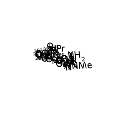 CNc1nc(N)nc2c1ncn2[C@@H]1O[C@H](CCOP(=O)(N[C@@H](C)C(=O)OC(C)C)Oc2ccccc2)[C@@H](O)[C@@]1(C)F